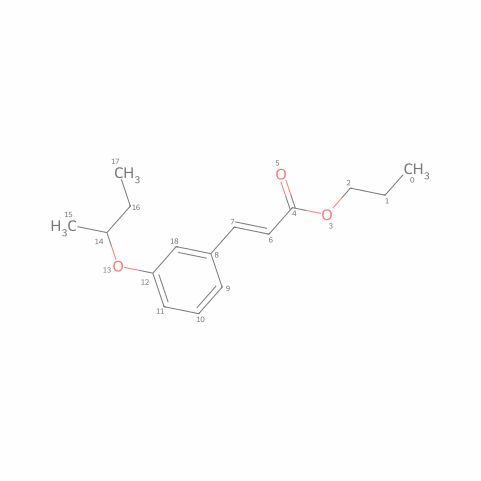 CCCOC(=O)/C=C/c1cccc(OC(C)CC)c1